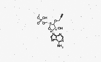 C#CCOC1[C@@H](COP(=O)(O)OC)O[C@@H](n2cnc3c(N)ncnc32)[C@H]1O